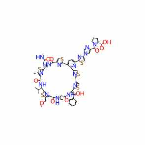 CNC(=O)C[C@@H]1NC(=O)c2csc(n2)-c2ccc(-c3nc(-n4cnc(C(=O)N5CCC[C@@H]5C(=O)O)c4)cs3)nc2-c2csc(n2)-c2csc(n2)[C@H]([C@@H](O)c2ccccc2)NC(=O)CNC(=O)c2nc(sc2COC)C(C(C)C)NC(=O)c2nc1sc2C